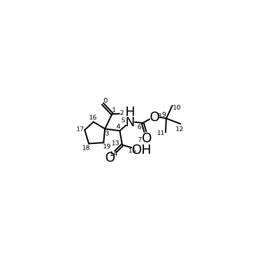 C=C(C)C1(C(NC(=O)OC(C)(C)C)C(=O)O)CCCC1